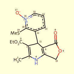 CCOC(=O)C1=C(C)NC2=C(C(=O)OC2)C1c1ccc[n+]([O-])c1SC